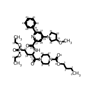 CCCCOC(=O)N1CCN(C(=O)C(CCP(=O)(OCC)OCC)NC(=O)c2cc(N3CCC(OC)C3)cc(-c3ccccc3)n2)CC1